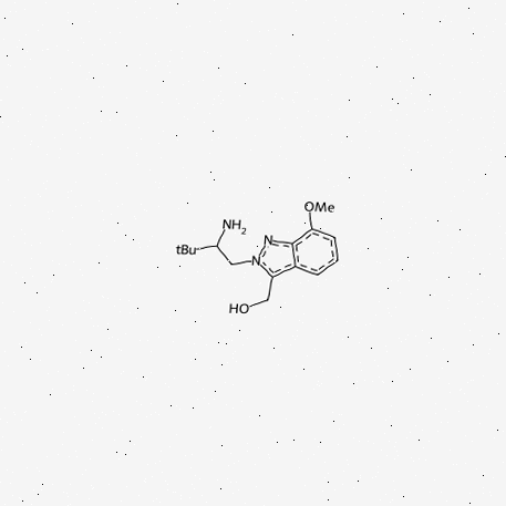 COc1cccc2c(CO)n(CC(N)C(C)(C)C)nc12